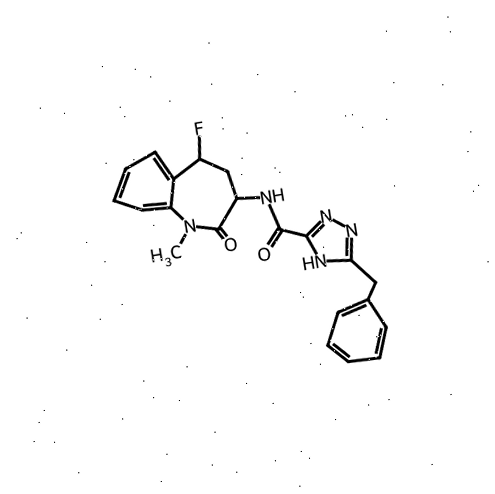 CN1C(=O)C(NC(=O)c2nnc(Cc3ccccc3)[nH]2)CC(F)c2ccccc21